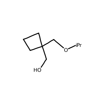 CC(C)OCC1(CO)CCC1